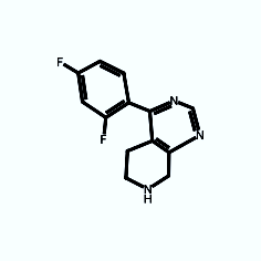 Fc1ccc(-c2ncnc3c2CCNC3)c(F)c1